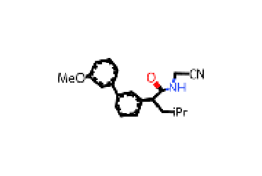 COc1cccc(-c2cccc(C(CC(C)C)C(=O)NCC#N)c2)c1